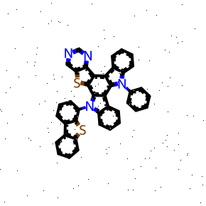 c1ccc(-n2c3ccccc3c3c4c5ncncc5sc4c4c(c5ccccc5n4-c4cccc5c4sc4ccccc45)c32)cc1